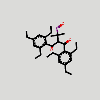 CCc1cc(CC)c(C(=O)C(C(=O)c2c(CC)cc(CC)cc2CC)C(C)(C)P=O)c(CC)c1